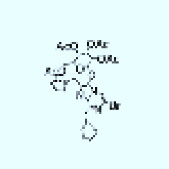 CC(=O)OCC1OC(Oc2c(Cc3ccco3)nc3c(Cc4ccccc4)nc(Br)cn23)C(OC(C)=O)C(OC(C)=O)C1OC(C)=O